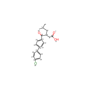 CC(C)CC(CC(=O)O)C(=O)c1ccc(-c2ccc(Cl)cc2)cc1